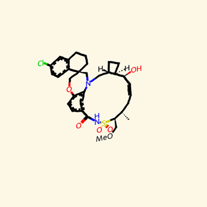 COC[C@@H]1[C@@H](C)C/C=C\[C@H](O)[C@@H]2CC[C@H]2CN2C[C@@]3(CCCc4cc(Cl)ccc43)COc3ccc(cc32)C(=O)NS1(=O)=O